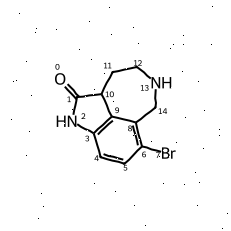 O=C1Nc2ccc(Br)c3c2C1CCNC3